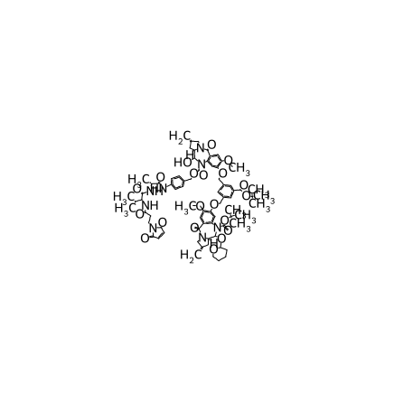 C=C1C[C@H]2[C@H](O)N(C(=O)OCc3ccc(NC(=O)[C@H](C)NC(=O)[C@@H](NC(=O)CCN4C(=O)C=CC4=O)C(C)C)cc3)c3cc(OCc4cc(COc5cc6c(cc5OC)C(=O)N5CC(=C)C[C@H]5[C@H](OC5CCCCO5)N6C(=O)OC(C)(C)C)cc(C(=O)OC(C)(C)C)c4)c(OC)cc3C(=O)N2C1